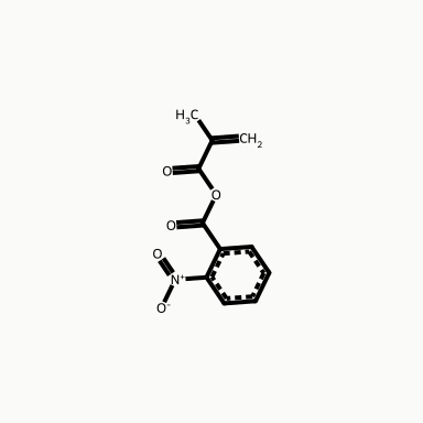 C=C(C)C(=O)OC(=O)c1ccccc1[N+](=O)[O-]